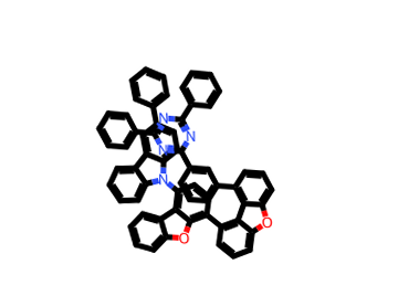 c1ccc(-c2ccc3c(c2)c2ccccc2n3-c2ccc(-c3cccc4oc5cccc(-c6cccc(-c7nc(-c8ccccc8)nc(-c8ccccc8)n7)c6)c5c34)c3oc4ccccc4c23)cc1